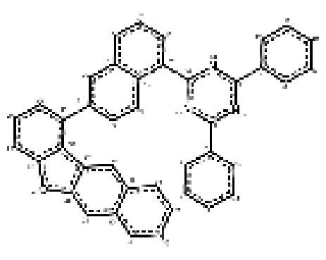 c1ccc(-c2nc(-c3ccccc3)nc(-c3cccc4cc(-c5cccc6oc7cc8cnccc8cc7c56)ccc34)n2)cc1